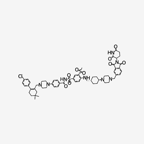 CC1(C)CCC(c2ccc(Cl)cc2)=C(CN2CCN(c3ccc(C(=O)NS(=O)(=O)c4ccc(NC[C@H]5CC[C@H](N6CCN(Cc7ccc8c(c7)C(=O)N(C7CCC(=O)NC7=O)C8=O)CC6)CC5)c(S(C)(=O)=O)c4)cc3)CC2)C1